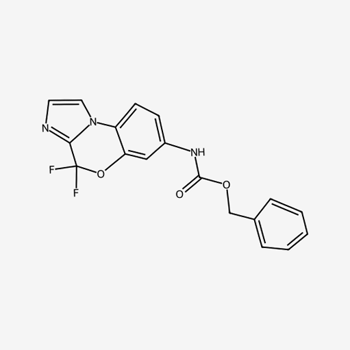 O=C(Nc1ccc2c(c1)OC(F)(F)c1nccn1-2)OCc1ccccc1